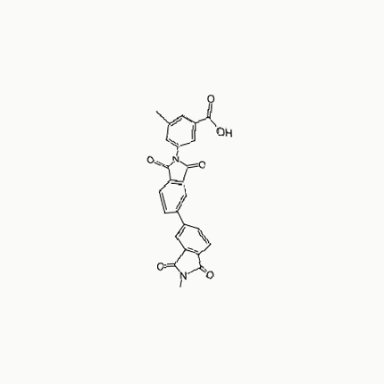 Cc1cc(C(=O)O)cc(N2C(=O)c3ccc(-c4ccc5c(c4)C(=O)N(C)C5=O)cc3C2=O)c1